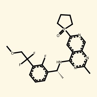 COCC(F)(F)c1cccc([C@@H](C)Nc2nc(C)nc3cnc(P4(=O)CCCC4)cc23)c1F